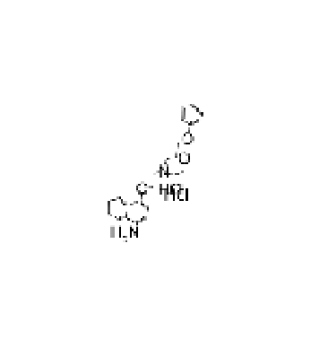 Cl.Cl.Nc1ccc(OCCN2CCOC(COc3ccccc3)C2)c2ccccc12